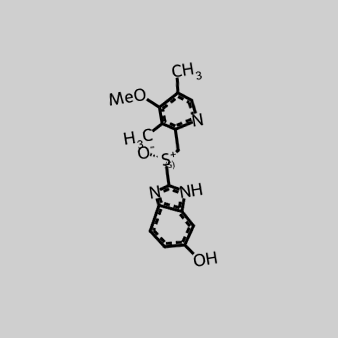 COc1c(C)cnc(C[S@@+]([O-])c2nc3ccc(O)cc3[nH]2)c1C